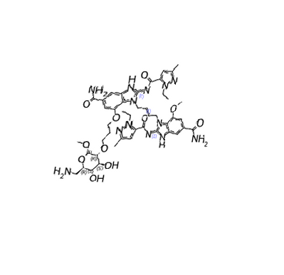 CCn1nc(C)cc1C(=O)/N=c1/[nH]c2cc(C(N)=O)cc(OC)c2n1C/C=C/Cn1/c(=N/C(=O)c2cc(C)nn2CC)[nH]c2cc(C(N)=O)cc(OCCCO[C@H]3[C@@H](OC)O[C@H](CN)[C@@H](O)[C@@H]3O)c21